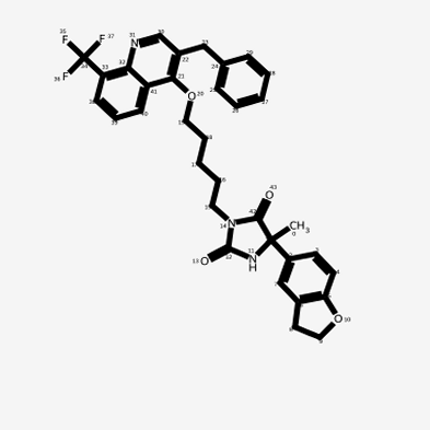 CC1(c2ccc3c(c2)CCO3)NC(=O)N(CCCCCOc2c(Cc3ccccc3)cnc3c(C(F)(F)F)cccc23)C1=O